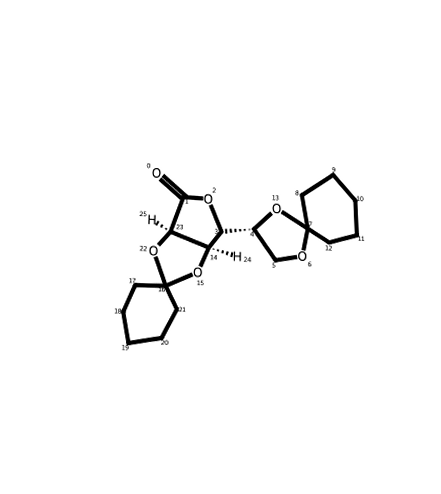 O=C1OC([C@H]2COC3(CCCCC3)O2)[C@H]2OC3(CCCCC3)O[C@@H]12